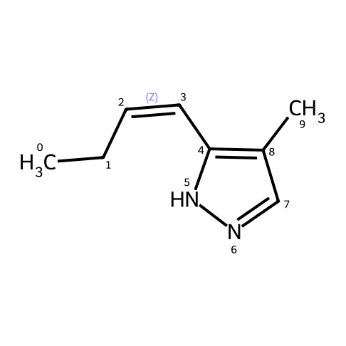 CC/C=C\c1[nH]ncc1C